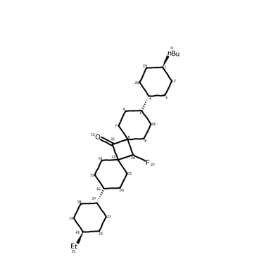 CCCC[C@H]1CC[C@H](C2CCC3(CC2)C(=O)C2(CCC([C@H]4CC[C@H](CC)CC4)CC2)C3F)CC1